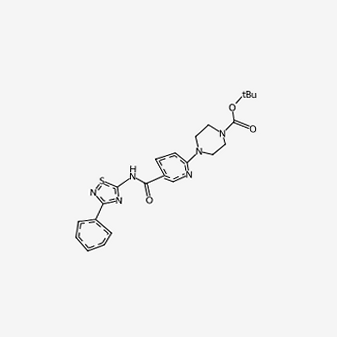 CC(C)(C)OC(=O)N1CCN(c2ccc(C(=O)Nc3nc(-c4ccccc4)ns3)cn2)CC1